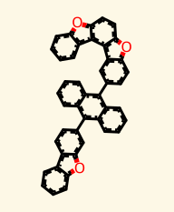 c1ccc2c(c1)oc1cc(-c3c4ccccc4c(-c4ccc5oc6ccc7oc8ccccc8c7c6c5c4)c4ccccc34)ccc12